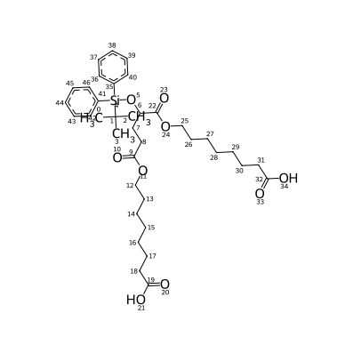 CC(C)(C)[Si](OC(CCC(=O)OCCCCCCCC(=O)O)C(=O)OCCCCCCCC(=O)O)(c1ccccc1)c1ccccc1